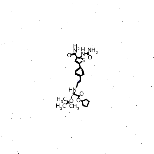 CC(C)(C)OC[C@H](NC/C=C/c1ccc(-c2cc(C(N)=O)c(NC(N)=O)s2)cc1)C(=O)OC1CCCC1